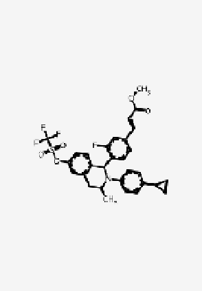 COC(=O)/C=C/c1ccc(C2c3ccc(OS(=O)(=O)C(F)(F)F)cc3CC(C)N2c2ccc(C3CC3)cc2)c(F)c1